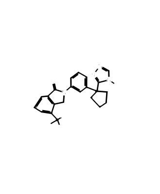 Cn1cnnc1C1(c2cccc(N3Cc4c(cccc4C(F)(F)F)C3=O)c2)CCCC1